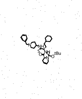 CC(C)(C)OC(=O)N1CC=CC[C@H]1C(=O)N[C@H](CCC1CCCCC1)C(=S)NC1CCN(Cc2ccccc2)CC1